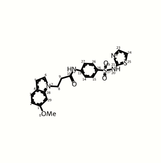 COc1ccc2ccn(CCC(=O)Nc3ccc(S(=O)(=O)Nc4nccs4)cc3)c2c1